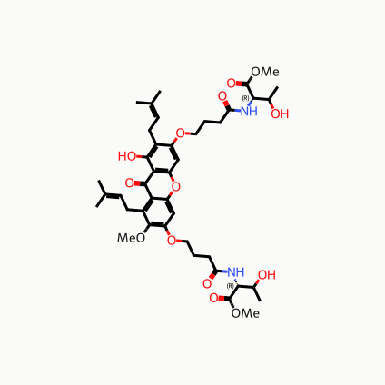 COC(=O)[C@H](NC(=O)CCCOc1cc2oc3cc(OCCCC(=O)N[C@@H](C(=O)OC)C(C)O)c(OC)c(CC=C(C)C)c3c(=O)c2c(O)c1CC=C(C)C)C(C)O